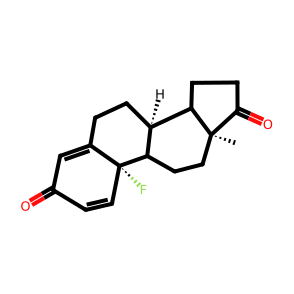 C[C@]12CCC3[C@@H](CCC4=CC(=O)C=C[C@@]43F)C1CCC2=O